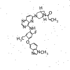 C=CC(=O)N1C[C@H]2C[C@@H]1CN(c1ccc3ncnc(Nc4cc(C)c(Oc5ccc6c(c5)ncn6C)cc4F)c3n1)C2